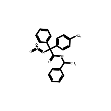 CC(NC(=O)C(N=S(=O)=O)(c1ccccc1)c1ccc([N+](=O)[O-])cc1)c1ccccc1